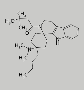 CCCCC1(N(C)C)CCC2(CC1)c1[nH]c3ccccc3c1CCN2C(=O)CC(C)(C)C